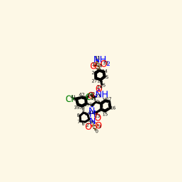 CS(=O)(=O)N[C@H]1CCCC[C@@H]1N1C(=O)c2ccccc2[C@@H](C(=O)NOCc2ccc(S(N)(=O)=O)cc2)[C@@H]1c1ccc(Cl)cc1Cl